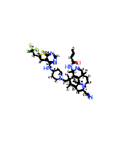 C/C=C/C(=O)NC1(C)N=CC2(C)CCN3C(C#N)=CC4=C(C)C(C)(CN5CCC(Nc6ncnc7sc(CC(F)(F)F)cc67)CC5)C1=C2C43C